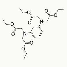 CCOC(=O)CN(CC(=O)OCC)c1cccc(N(CC(=O)OCC)CC(=O)OCC)c1